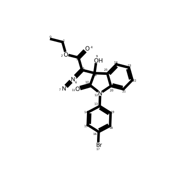 CCOC(=O)C(=[N+]=[N-])C1(O)C(=O)N(c2ccc(Br)cc2)c2ccccc21